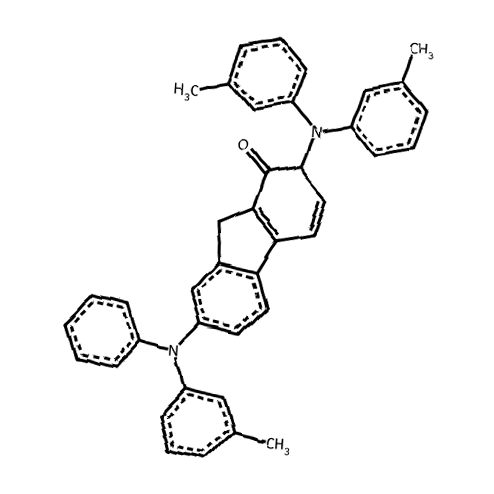 Cc1cccc(N(c2ccccc2)c2ccc3c(c2)CC2=C3C=CC(N(c3cccc(C)c3)c3cccc(C)c3)C2=O)c1